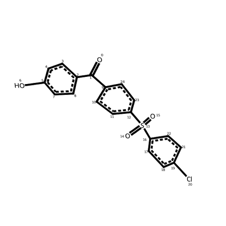 O=C(c1ccc(O)cc1)c1ccc(S(=O)(=O)c2ccc(Cl)cc2)cc1